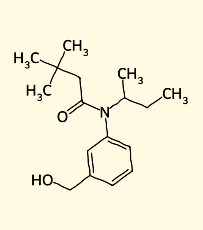 CCC(C)N(C(=O)CC(C)(C)C)c1cccc(CO)c1